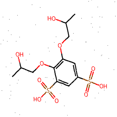 CC(O)COc1cc(S(=O)(=O)O)cc(S(=O)(=O)O)c1OCC(C)O